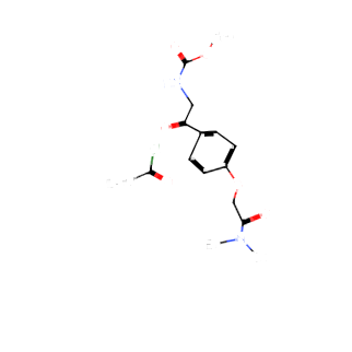 CC(C)COC(=O)Cl.CCN(CC)C(=O)COc1ccc(C(=O)CNC(=O)OC(C)(C)C)cc1